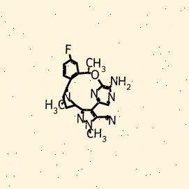 C[C@H]1Oc2nc(cnc2N)-c2c(nn(C)c2C#N)C2CCC(c3ccc(F)cc31)N2C